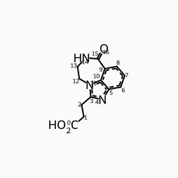 O=C(O)CCc1nc2cccc3c2n1CCNC3=O